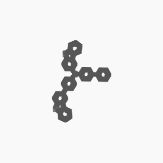 c1ccc(-c2ccc(N(c3ccc(-c4ccc5sc6ccccc6c5c4)cc3)c3ccc4sc5ccccc5c4c3)cc2)cc1